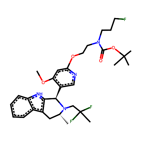 COc1cc(OCCN(CCCF)C(=O)OC(C)(C)C)ncc1[C@@H]1c2[nH]c3ccccc3c2C[C@@H](C)N1CC(C)(F)F